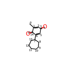 CC1=CC(=O)C=C(C2CCCCCC2)C1=O